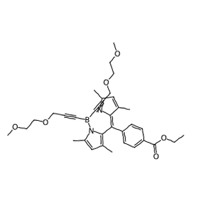 CCOC(=O)c1ccc(/C(=C2/N=C(C)C=C2C)c2c(C)cc(C)n2B(C#CCOCCOC)C#CCOCCOC)cc1